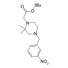 CC(C)(C)OC(=O)CN1CCN(Cc2cccc([N+](=O)[O-])c2)CC1(C)C